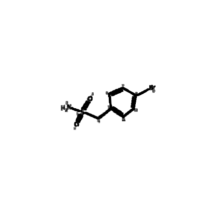 NS(=O)(=O)Cc1ccc(Br)cc1